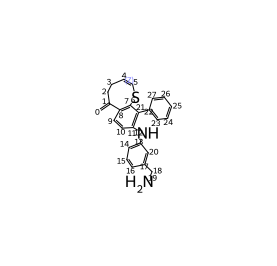 C=C1CC/C=C\Sc2c1ccc(Nc1cccc(CN)c1)c2-c1ccccc1